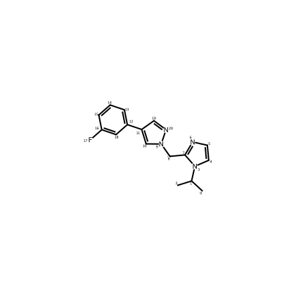 CC(C)n1ccnc1[CH]n1cc(-c2cccc(F)c2)cn1